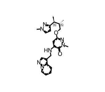 C[C@H](COc1cc(NCc2cnn3ccccc23)c(=O)n(C)n1)[C@H](C)c1ccn(C)n1